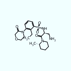 CCc1c(N2CCOCC2=O)cccc1S(=O)(=O)N[C@@H](CN)C(=O)N1CCCC[C@@H]1C